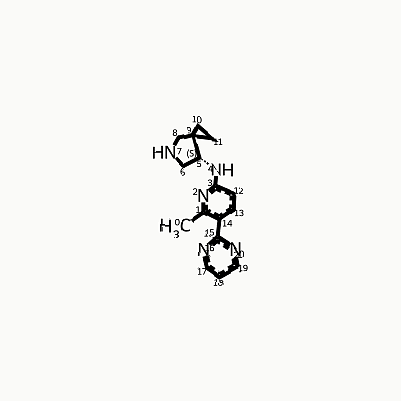 Cc1nc(N[C@@H]2CNCC23CC3)ccc1-c1ncccn1